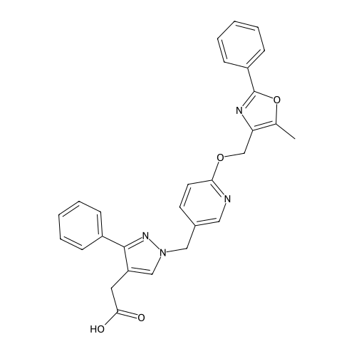 Cc1oc(-c2ccccc2)nc1COc1ccc(Cn2cc(CC(=O)O)c(-c3ccccc3)n2)cn1